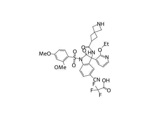 CCOc1ncccc1C1(NC(=O)C2CC3(CNC3)C2)C(=O)N(S(=O)(=O)c2ccc(OC)cc2OC)c2ccc(C#N)cc21.O=C(O)C(F)(F)F